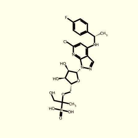 C[C@H](Nc1cc(Cl)nc2c1cnn2[C@@H]1O[C@H](COC(C)(CO)P(=O)(O)O)[C@@H](O)[C@H]1O)c1ccc(F)cc1